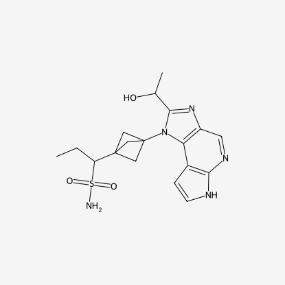 CCC(C12CC(n3c(C(C)O)nc4cnc5[nH]ccc5c43)(C1)C2)S(N)(=O)=O